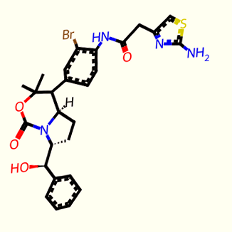 CC1(C)OC(=O)N2[C@H](CC[C@@H]2[C@H](O)c2ccccc2)C1c1ccc(NC(=O)Cc2csc(N)n2)c(Br)c1